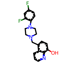 Oc1ccc(CN2CCN(c3ccc(F)cc3F)CC2)c2cccnc12